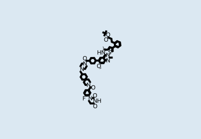 COc1cc2nc(C)nc(N[C@H](C)c3cc(-c4ccccc4CCC(=O)OC(C)(C)C)cs3)c2cc1C1CCC(C(=O)N2CCN(CC3CCC4(CC3)CCN(C(=O)c3ccc(F)c(N5CCC(=O)NC5=O)c3)CC4)CC2)CC1